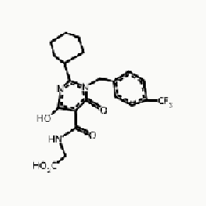 O=C(O)CNC(=O)c1c(O)nc(C2CCCCC2)n(Cc2ccc(C(F)(F)F)cc2)c1=O